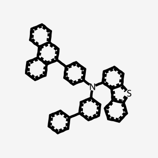 c1ccc(-c2cccc(N(c3ccc(-c4cc5ccccc5c5ccccc45)cc3)c3cccc4sc5ccccc5c34)c2)cc1